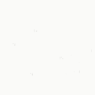 O=C(NC(Cc1ccc(-c2ncc3ccccc3c2Br)c2cccnc12)C(=O)O)c1c(Cl)cccc1Cl